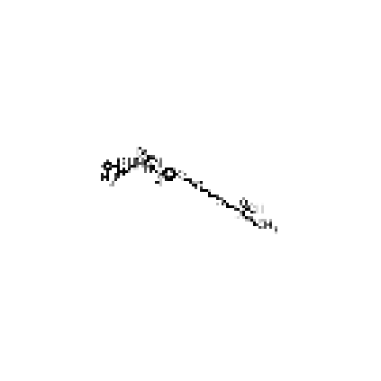 CCCCC(OCCCOCCCCOCCCOc1ccc(Nc2ncc(Br)c(NCCCN(C)C(=O)C3CCC3)n2)cc1)C(=O)O